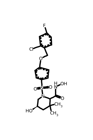 CC1(C)C[C@@H](O)CN(S(=O)(=O)c2ccc(OCc3ccc(F)cc3Cl)cc2)C1C(=O)NO